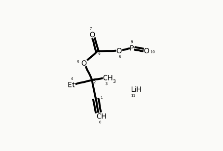 C#CC(C)(CC)OC(=O)OP=O.[LiH]